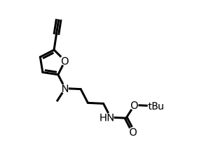 C#Cc1ccc(N(C)CCCNC(=O)OC(C)(C)C)o1